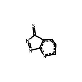 S=C1N=Nc2ncccc21